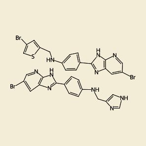 Brc1cnc2[nH]c(-c3ccc(NCc4c[nH]cn4)cc3)nc2c1.Brc1csc(CNc2ccc(-c3nc4cc(Br)cnc4[nH]3)cc2)c1